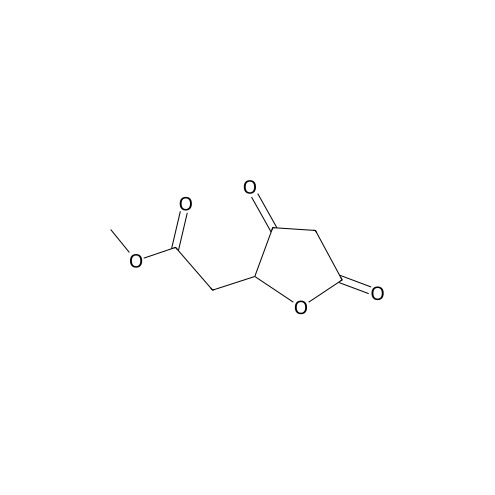 COC(=O)CC1OC(=O)CC1=O